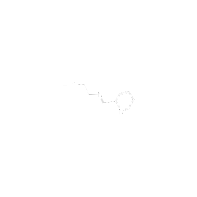 CCCN=Cc1ccccn1